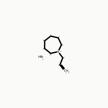 Br.C=CCN1CCCCCC1